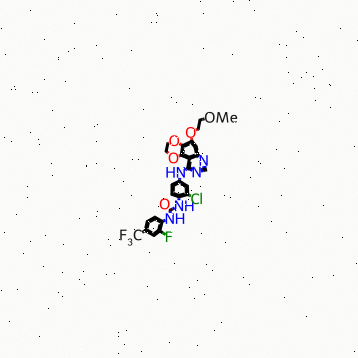 COCCOc1cc2ncnc(Nc3ccc(NC(=O)Nc4ccc(C(F)(F)F)cc4F)c(Cl)c3)c2c2c1OCCO2